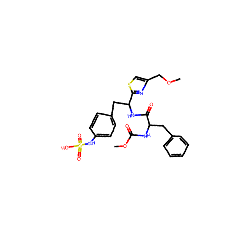 COCc1csc(C(Cc2ccc(NS(=O)(=O)O)cc2)NC(=O)C(Cc2ccccc2)NC(=O)OC)n1